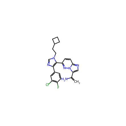 C=C(N)c1cnc2ccc(-c3c(-c4ccc(F)c(Cl)c4)ncn3CCC3CCC3)nn12